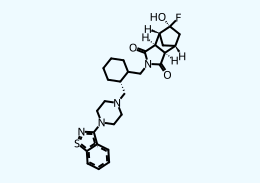 O=C1[C@@H]2[C@@H]3C[C@H]([C@@H]2C(=O)N1CC1CCCC[C@H]1CN1CCN(c2nsc4ccccc24)CC1)[C@@](O)(F)C3